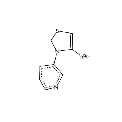 CC[CH]C1=CSCN1c1cccnc1